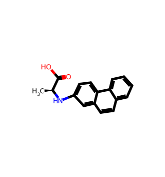 C[C@H](Nc1ccc2c(ccc3ccccc32)c1)C(=O)O